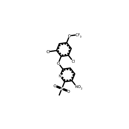 CS(=O)(=O)c1nc(Oc2c(Cl)cc(OC(F)(F)F)cc2Cl)ccc1[N+](=O)[O-]